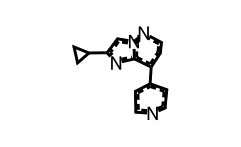 c1cc(-c2ccnn3cc(C4CC4)nc23)ccn1